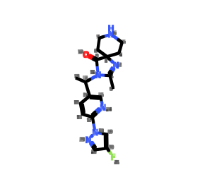 CC1=NC2(CCNCC2)C(=O)N1C(C)c1ccc(-n2cc(F)cn2)nc1